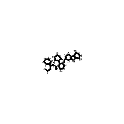 C=Cc1c(/C=C\C)c2ccccc2n1-c1cccc2c1c1ccccc1n2-c1ccc2c(c1)sc1ccccc12